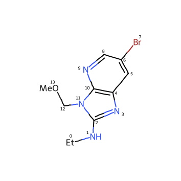 CCNc1nc2cc(Br)cnc2n1COC